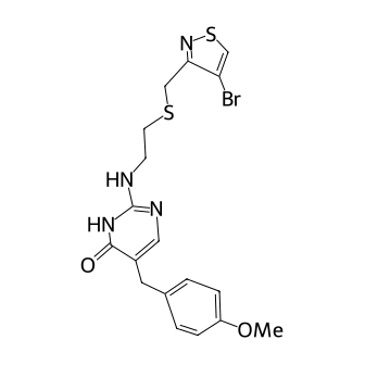 COc1ccc(Cc2cnc(NCCSCc3nscc3Br)[nH]c2=O)cc1